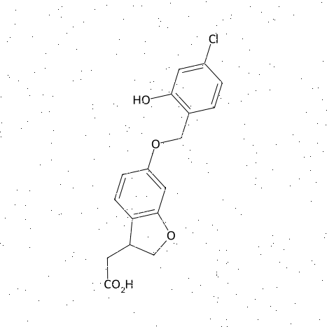 O=C(O)CC1COc2cc(OCc3ccc(Cl)cc3O)ccc21